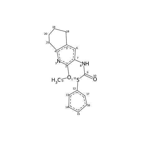 COc1nc2c(cc1NC(=O)Sc1ccccc1)CCCC2